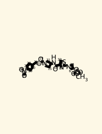 CS(=O)(=O)OC1CN(c2nc(C(=O)N[C@@H]3CCN(C(=O)OCc4ccc([N+](=O)[O-])cc4)C3)cs2)C1